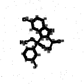 COP(=O)(c1cccc(F)c1)c1c(C(=O)O)[nH]c2ccc(Cl)cc12